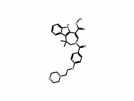 CC(C)OC(=O)C1=CN(C(=O)c2ccc(OCCN3CCOCC3)cc2)CC(C)(C)c2c1[nH]c1ccccc21